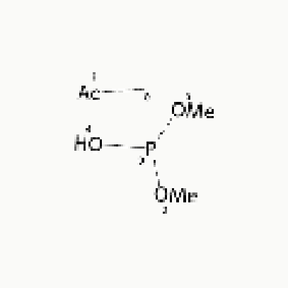 CC(C)=O.COP(O)OC